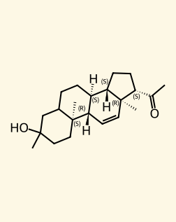 CC(=O)[C@H]1CC[C@H]2[C@@H]3CCC4CC(C)(O)CC[C@]4(C)[C@H]3C=C[C@]12C